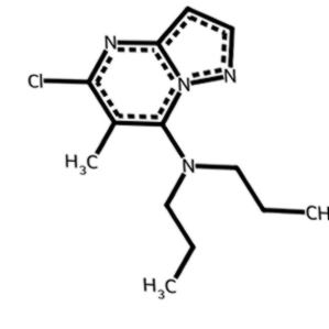 CCCN(CCC)c1c(C)c(Cl)nc2ccnn12